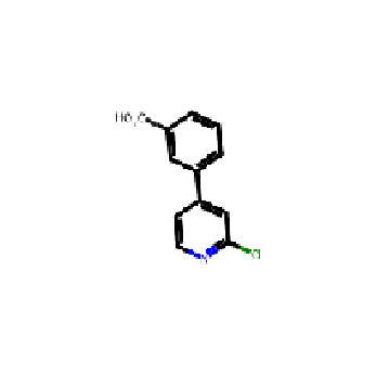 O=C(O)c1cccc(-c2ccnc(Cl)c2)c1